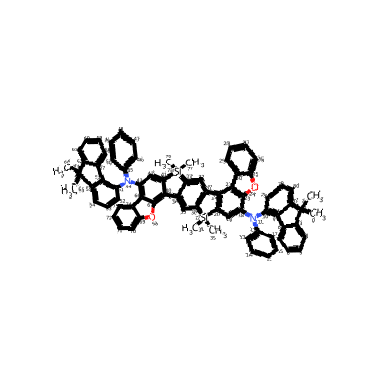 CC1(C)c2ccccc2-c2c(N(c3ccccc3)c3cc4c(c5c3oc3ccccc35)-c3cc5c(cc3[Si]4(C)C)-c3c(cc(N(c4ccccc4)c4cccc6c4-c4ccccc4C6(C)C)c4c3oc3ccccc34)[Si]5(C)C)cccc21